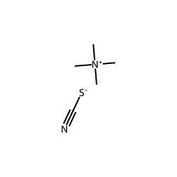 C[N+](C)(C)C.N#C[S-]